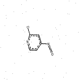 O=Nc1ccnc(Cl)c1